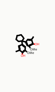 COc1cc(C2(c3cc(C)c(O)c(OC)c3)CCCCC2)cc(C)c1O